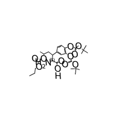 CCCOC(=O)OC(C)CC(c1ccc(OC(=O)OC(C)(C)C)c(OC(=O)OC(C)(C)C)c1)[C@H](N)C(=O)O